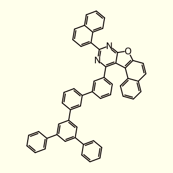 c1ccc(-c2cc(-c3ccccc3)cc(-c3cccc(-c4cccc(-c5nc(-c6cccc7ccccc67)nc6oc7ccc8ccccc8c7c56)c4)c3)c2)cc1